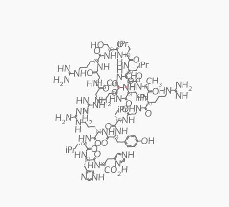 CC(C)C[C@H](NC(=O)CNC(=O)[C@H](CCCNC(=N)N)NC(=O)[C@H](C)NC(=O)[C@H](C)NC(=O)[C@H](CCCNC(=N)N)NC(=O)[C@H](CC(C)C)NC(=O)[C@H](C)NC(=O)[C@H](CC(C)C)NC(=O)[C@H](CC(C)C)NC(=O)[C@H](CO)NC(=O)[C@H](CCCNC(=N)N)NC(=O)CNC(=O)CN)C(=O)N[C@@H](Cc1ccc(O)cc1)C(=O)N[C@@H](CCCNC(=N)N)C(=O)N[C@@H](CC(C)C)C(=O)N[C@@H](Cc1c[nH]cn1)C(=O)N[C@@H](Cc1c[nH]cn1)C(=O)O